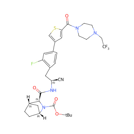 CC(C)(C)OC(=O)N1[C@@H]2CC[C@@H](C2)[C@H]1C(=O)N[C@H](C#N)Cc1ccc(-c2csc(C(=O)N3CCN(CC(F)(F)F)CC3)c2)cc1F